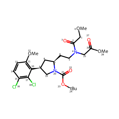 COCC(=O)N(CC[C@@H]1C[C@H](c2c(OC)ccc(Cl)c2Cl)CN1C(=O)OC(C)(C)C)CC(=O)OC